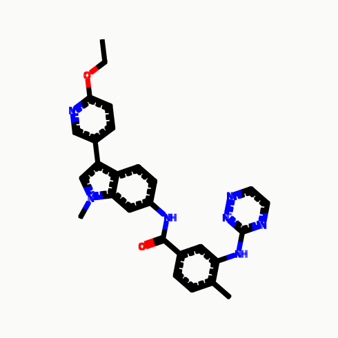 CCOc1ccc(-c2cn(C)c3cc(NC(=O)c4ccc(C)c(Nc5nccnn5)c4)ccc23)cn1